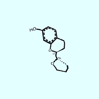 Oc1ccc2c(c1)O[C@H]([C@@H]1CCCO1)CC2